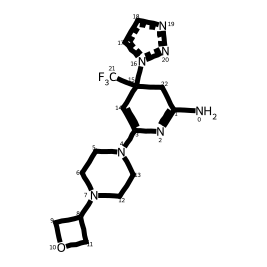 NC1=NC(N2CCN(C3COC3)CC2)=CC(n2ccnn2)(C(F)(F)F)C1